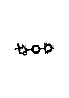 CC1(C)COC(c2ccc(-c3ncncn3)cc2)=N1